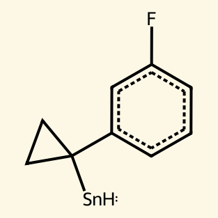 Fc1cccc([C]2([SnH])CC2)c1